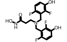 O=C(CCN(Cc1c(F)ccc(O)c1F)Cc1c(F)ccc(O)c1F)NO